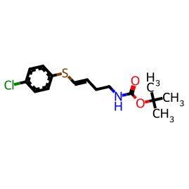 CC(C)(C)OC(=O)NCC/C=C/Sc1ccc(Cl)cc1